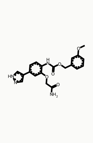 COc1cccc(COC(=O)Nc2ccc(-c3cn[nH]c3)cc2OCC(N)=O)c1